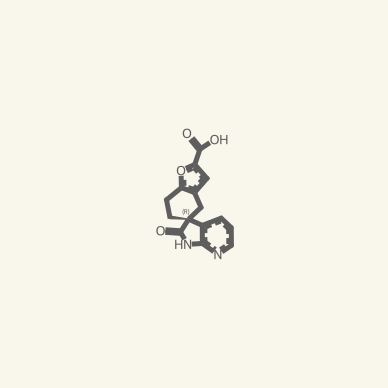 O=C(O)c1cc2c(o1)CC[C@]1(C2)C(=O)Nc2ncccc21